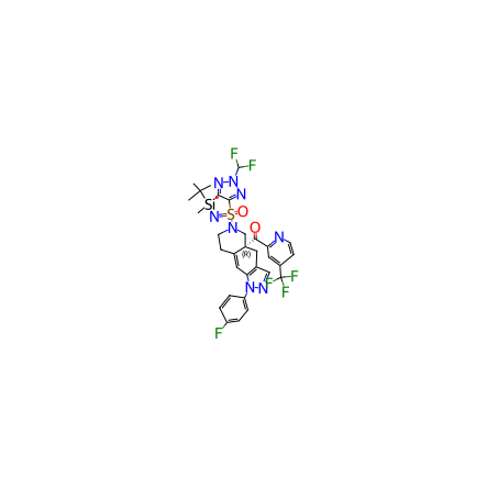 CC(C)(C)[Si](C)(C)N=S(=O)(c1cnn(C(F)F)n1)N1CCC2=Cc3c(cnn3-c3ccc(F)cc3)C[C@]2(C(=O)c2cc(C(F)(F)F)ccn2)C1